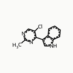 Cc1ncc(Cl)c(-c2c[nH]c3ccccc23)n1